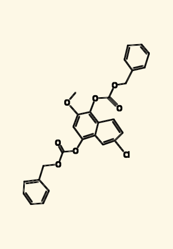 COc1cc(OC(=O)OCc2ccccc2)c2cc(Cl)ccc2c1OC(=O)OCc1ccccc1